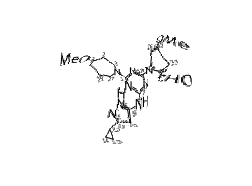 COC1CCN(c2nc(Nc3cc(C4CC4)n[nH]3)nc(N3C[C@@H](OC)C[C@H]3C=O)n2)CC1